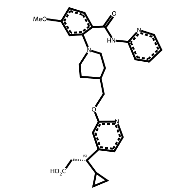 COc1ccc(C(=O)Nc2ccccn2)c(N2CCC(COc3cc([C@@H](CC(=O)O)C4CC4)ccn3)CC2)c1